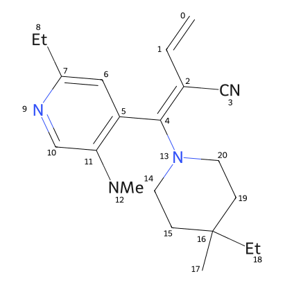 C=C/C(C#N)=C(\c1cc(CC)ncc1NC)N1CCC(C)(CC)CC1